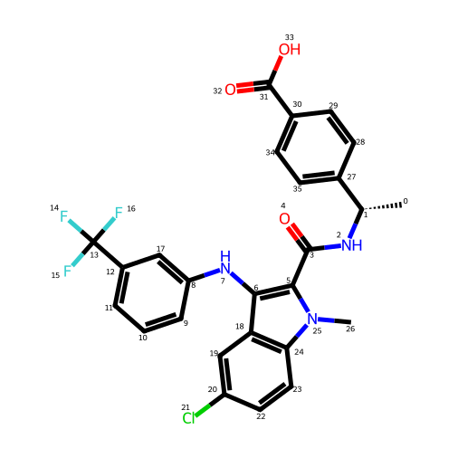 C[C@H](NC(=O)c1c(Nc2cccc(C(F)(F)F)c2)c2cc(Cl)ccc2n1C)c1ccc(C(=O)O)cc1